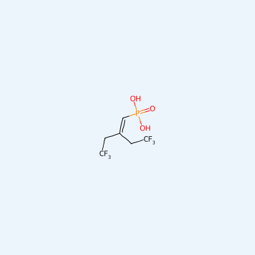 O=P(O)(O)C=C(CC(F)(F)F)CC(F)(F)F